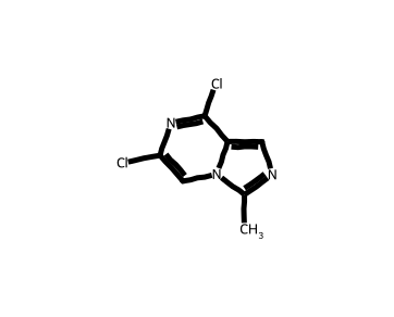 Cc1ncc2c(Cl)nc(Cl)cn12